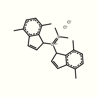 Cc1ccc(C)c2c1C=C[CH]2[Zr+2]([CH]1C=Cc2c(C)ccc(C)c21)=[Si](C)C.[Cl-].[Cl-]